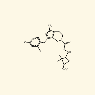 CC1(C)C(NCC(=O)N2CCc3c(C(F)(F)F)nn(Cc4ccc(Cl)cc4F)c3C2)CC1C(=O)O